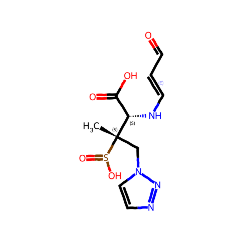 C[C@](Cn1ccnn1)([C@@H](N/C=C/C=O)C(=O)O)S(=O)O